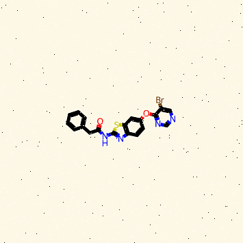 O=C(Cc1ccccc1)Nc1nc2ccc(Oc3ncncc3Br)cc2s1